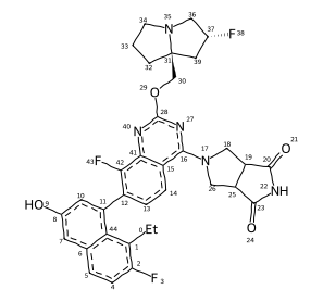 CCc1c(F)ccc2cc(O)cc(-c3ccc4c(N5CC6C(=O)NC(=O)C6C5)nc(OC[C@@]56CCCN5C[C@H](F)C6)nc4c3F)c12